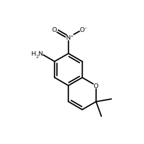 CC1(C)C=Cc2cc(N)c([N+](=O)[O-])cc2O1